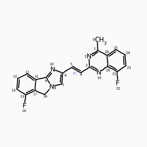 Cc1nc(/C=C/c2cn3c(n2)-c2cccc(F)c2C3)nc2c(F)cccc12